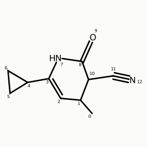 CC1C=C(C2CC2)NC(=O)C1C#N